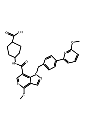 COc1cccc(-c2ccc(Cn3ncc4c(OC)ncc(C(=O)NC5CCC(C(=O)O)CC5)c43)cc2)n1